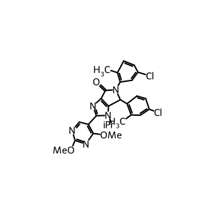 COc1ncc(-c2nc3c(n2C(C)C)C(c2ccc(Cl)cc2C)N(c2cc(Cl)ccc2C)C3=O)c(OC)n1